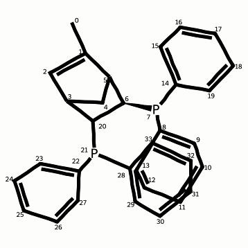 CC1=CC2CC1[C@@H](P(c1ccccc1)c1ccccc1)C2P(c1ccccc1)c1ccccc1